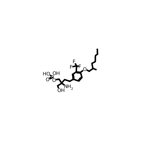 CCCCCC(C)COc1ccc(CCC(N)(CO)COP(=O)(O)O)cc1C(F)(F)F